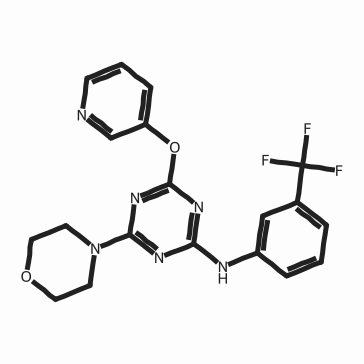 FC(F)(F)c1cccc(Nc2nc(Oc3cccnc3)nc(N3CCOCC3)n2)c1